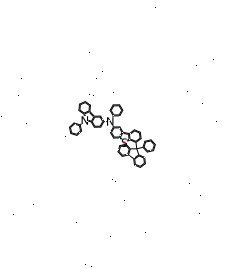 c1ccc(N(c2ccc3sc4c(C5(c6ccccc6)c6ccccc6-c6ccccc65)cccc4c3c2)c2ccc3c(c2)c2ccccc2n3-c2ccccc2)cc1